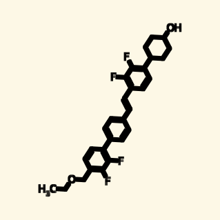 CCOCc1ccc(-c2ccc(/C=C/c3ccc(C4CCC(O)CC4)c(F)c3F)cc2)c(F)c1F